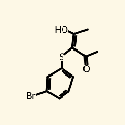 CC(=O)C(Sc1cccc(Br)c1)=C(C)O